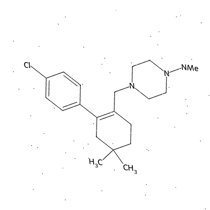 CNN1CCN(CC2=C(c3ccc(Cl)cc3)CC(C)(C)CC2)CC1